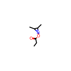 CCC(=O)ON1C(C)C1C